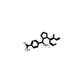 C=C/C(C)=C(\C=C/C)C1CCCC1C(N)c1ccc(C(=O)O)cc1